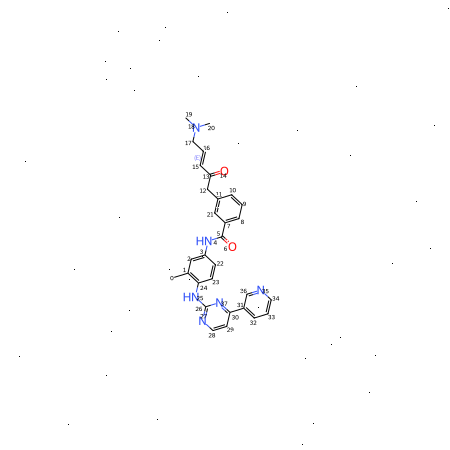 Cc1cc(NC(=O)c2cccc(CC(=O)/C=C/CN(C)C)c2)ccc1Nc1nccc(-c2cccnc2)n1